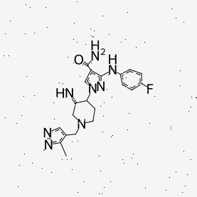 Cc1c(CN2CCC(n3cc(C(N)=O)c(Nc4ccc(F)cc4)n3)C(=N)C2)cnn1C